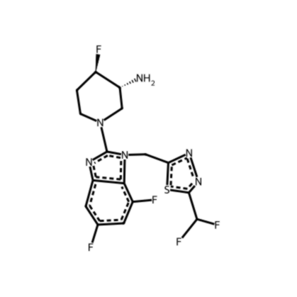 N[C@@H]1CN(c2nc3cc(F)cc(F)c3n2Cc2nnc(C(F)F)s2)CC[C@H]1F